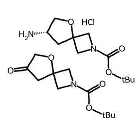 CC(C)(C)OC(=O)N1CC2(CC(=O)CO2)C1.CC(C)(C)OC(=O)N1CC2(C[C@H](N)CO2)C1.Cl